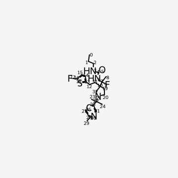 CCCNC(=O)NC(C)(F)C1(CCc2ccc(F)s2)CCN(C(C)(C)c2ccc(C)nc2)C1